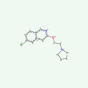 Brc1ccc2cnc(OCCN3CCCC3)cc2c1